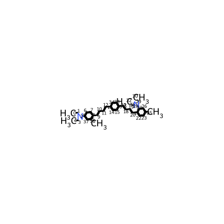 CCN(CC)c1ccc(C=CC=Cc2ccc(C=CC=Cc3ccc(C)cc3N(CC)CC)cc2)c(C)c1